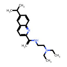 C=C(NCCN(CC)CC)c1ccc2cc(C(C)C)ccc2n1